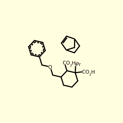 C1=CC2CCC1C2.CC(C)C1(C(=O)O)CCCC(COCc2ccccc2)C1C(=O)O